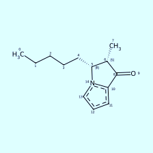 CCCCC[C@@H]1[C@H](C)C(=O)c2cccn21